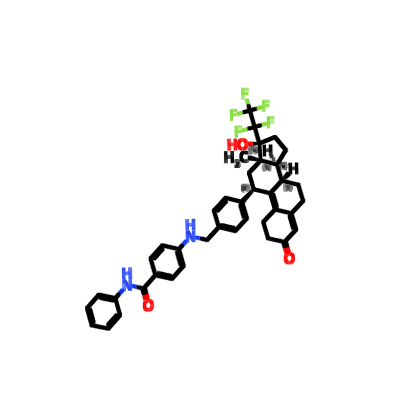 C[C@]12C[C@H](c3ccc(CNc4ccc(C(=O)Nc5ccccc5)cc4)cc3)C3=C4CCC(=O)C=C4CC[C@H]3[C@@H]1CC[C@@]2(O)C(F)(F)C(F)(F)F